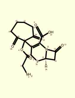 NCC(=O)OC1(C2=C(C(=O)O)N3C(=O)C[C@H]3SC2)C(=O)CCCCC1=O